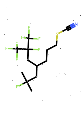 CC(C)(F)CC(CCCSC#N)CC(F)(C(F)(F)F)C(F)(F)F